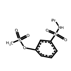 CC(C)NS(=O)(=O)c1cccc(OS(C)(=O)=O)c1